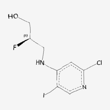 OC[C@H](F)CNc1cc(Cl)ncc1I